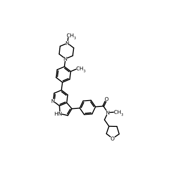 Cc1cc(-c2cnc3[nH]cc(-c4ccc(C(=O)N(C)CC5CCOC5)cc4)c3c2)ccc1N1CCN(C)CC1